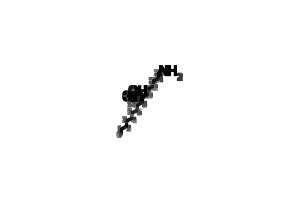 CCCCCCCCCCCCCCCCN.CS(=O)(=O)O